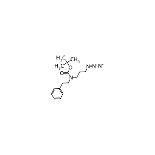 CC(C)(C)OC(=O)N(CCCN=[N+]=[N-])CCc1ccccc1